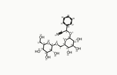 N#CC(OC1O[C@H](CO[C@@H]2O[C@H](CO)[C@@H](O)[C@H](O)[C@H]2O)[C@@H](O)[C@H](O)[C@H]1O)c1ccccc1